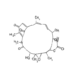 CC1=C2C(=O)C(=CC1=O)C/C(C)=C/C=C/C(O)C1(O)CC(OC(=O)N1)C(C)C1OC1(C)C(O)CC(=O)N2C